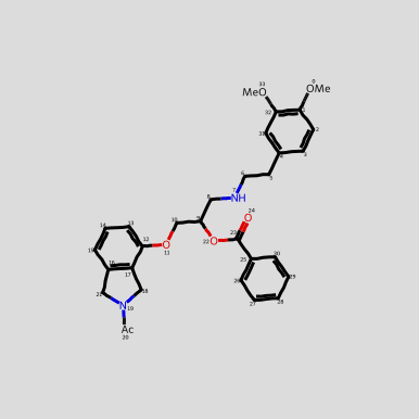 COc1ccc(CCNCC(COc2cccc3c2CN(C(C)=O)C3)OC(=O)c2ccccc2)cc1OC